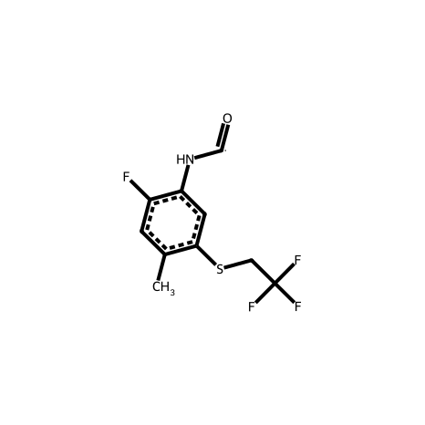 Cc1cc(F)c(N[C]=O)cc1SCC(F)(F)F